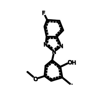 [CH2]c1cc(OC)cc(-n2nc3ccc(F)cc3n2)c1O